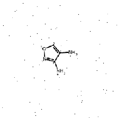 Nc1conc1N